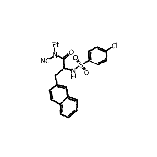 CCN(C#N)C(=O)C(Cc1ccc2ccccc2c1)NS(=O)(=O)c1ccc(Cl)cc1